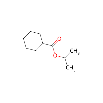 CC(C)OC(=O)C1CCCCC1